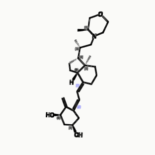 C=C1/C(=C\C=C2/CCC[C@]3(C)[C@@H]([C@H](C)CN4CCOC[C@@H]4C)CC[C@@H]23)C[C@@H](O)C[C@H]1O